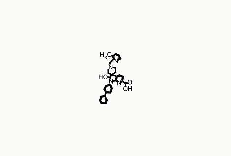 Cc1cccnc1CN1CCC2(CC1)c1ccc(C(=O)O)nc1N(c1ccc(-c3ccccc3)cc1)C2O